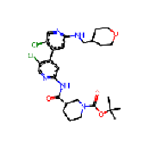 CC(C)(C)OC(=O)N1CCC[C@@H](C(=O)Nc2cc(-c3cc(NCC4CCOCC4)ncc3Cl)c(Cl)cn2)C1